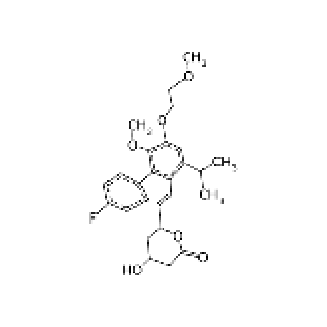 COCCOc1cc(C(C)C)c(/C=C/C2CC(O)CC(=O)O2)c(-c2ccc(F)cc2)c1OC